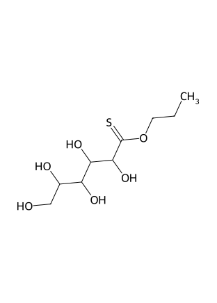 CCCOC(=S)C(O)C(O)C(O)C(O)CO